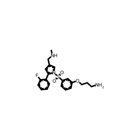 CNCc1cc(-c2ccccc2F)n(S(=O)(=O)c2cccc(OCCCN)c2)c1